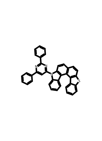 c1ccc(-c2cc(-n3c4ccccc4c4c5c(ccc6sc7ccccc7c65)ccc43)nc(-c3ccccc3)n2)cc1